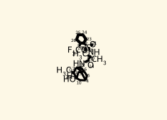 C[C@@H]1C2CC3CC(CC1(O)C3)C2NC(=O)C(C)(C)NS(=O)(=O)c1ccccc1C(F)(F)F